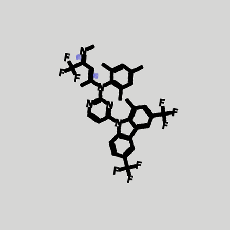 C/N=C(\C=C(/C)N(c1nccc(-n2c3ccc(C(F)(F)F)cc3c3cc(C(F)(F)F)cc(C)c32)n1)c1c(C)cc(C)cc1C)C(F)(F)F